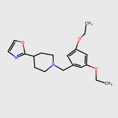 CCOc1cc(CN2CCC(c3ncco3)CC2)cc(OCC)c1